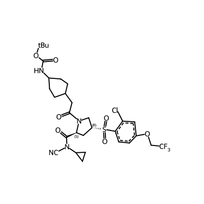 CC(C)(C)OC(=O)NC1CCC(CC(=O)N2C[C@H](S(=O)(=O)c3ccc(OCC(F)(F)F)cc3Cl)C[C@H]2C(=O)N(C#N)C2CC2)CC1